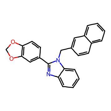 c1ccc2cc(Cn3c(-c4ccc5c(c4)OCO5)nc4ccccc43)ccc2c1